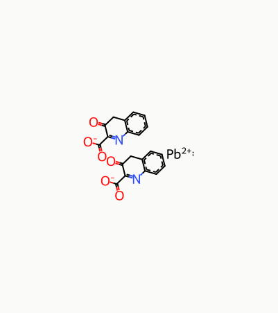 O=C([O-])C1=Nc2ccccc2CC1=O.O=C([O-])C1=Nc2ccccc2CC1=O.[Pb+2]